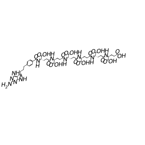 Nc1nc(N)c2c(CCCc3ccc(C(=O)N[C@@H](CCC(=O)N[C@@H](CCC(=O)N[C@@H](CCC(=O)N[C@@H](CCC(=O)N[C@@H](CCC(=O)N[C@@H](CCC(=O)O)C(=O)O)C(=O)O)C(=O)O)C(=O)O)C(=O)O)C(=O)O)cc3)c[nH]c2n1